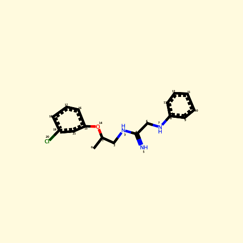 CC(CNC(=N)CNc1ccccc1)Oc1cccc(Cl)c1